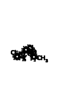 Cc1cccc(S(=O)(=O)N2CCCc3ccc(OCc4c(Cl)cccc4C4CC4)cc32)c1